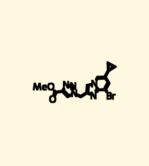 COC(=O)c1cn(Cc2cn3cc(C4CC4)cc(Br)c3n2)nn1